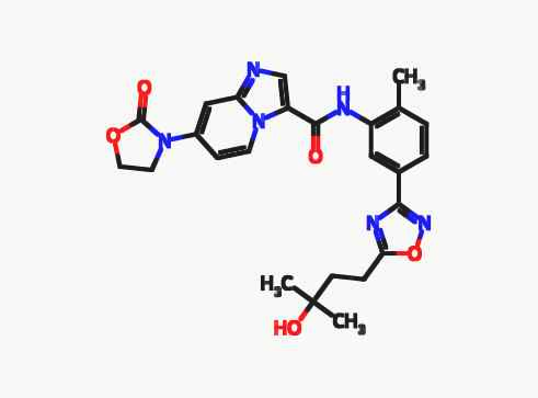 Cc1ccc(-c2noc(CCC(C)(C)O)n2)cc1NC(=O)c1cnc2cc(N3CCOC3=O)ccn12